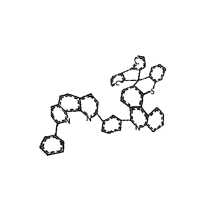 c1ccc(-c2ccc3ccc4ccc(-c5cccc(-c6nc7ccccc7c7c8c(ccc67)C6(c7ccccc7S8)c7ccccc7-c7ccccc76)c5)nc4c3n2)cc1